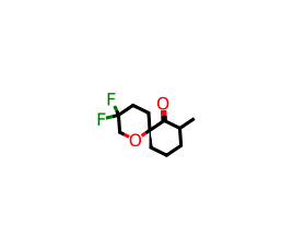 CC1CCC[C@@]2(CCC(F)(F)CO2)C1=O